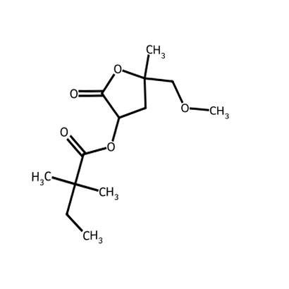 CCC(C)(C)C(=O)OC1CC(C)(COC)OC1=O